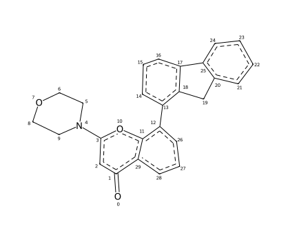 O=c1cc(N2CCOCC2)oc2c(-c3cccc4c3Cc3ccccc3-4)cccc12